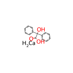 O=C(O)C(O)(c1ccccc1)c1ccccc1.[CaH2]